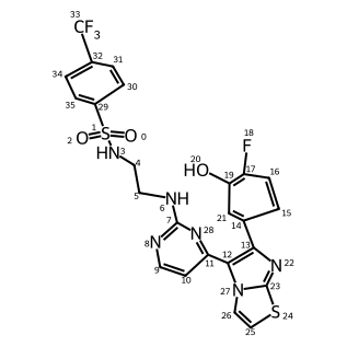 O=S(=O)(NCCNc1nccc(-c2c(-c3ccc(F)c(O)c3)nc3sccn23)n1)c1ccc(C(F)(F)F)cc1